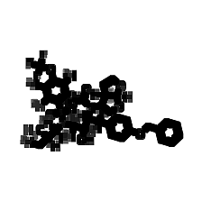 [2H]CC([2H])(C)C([2H])([2H])N(C([2H])([2H])[C@@]([2H])(O)[C@@]([2H])(N(C(=O)O)C1CO[C@@H]2OC=C[C@@H]12)C([2H])([2H])c1ccc(OCc2ccccc2)cc1)S(=O)(=O)c1c([2H])c([2H])c(OC(F)(F)F)c([2H])c1[2H]